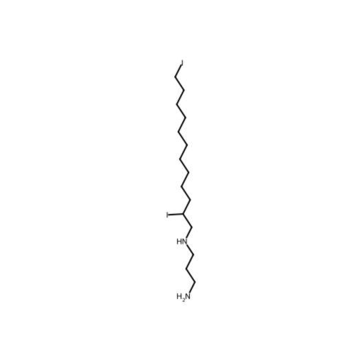 NCCCNCC(I)CCCCCCCCCCI